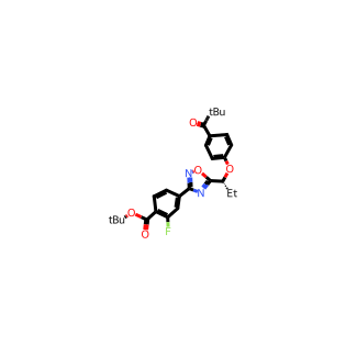 CC[C@@H](Oc1ccc(C(=O)C(C)(C)C)cc1)c1nc(-c2ccc(C(=O)OC(C)(C)C)c(F)c2)no1